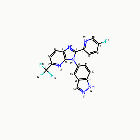 Fc1ccc(-c2nc3ccc(C(F)(F)F)nc3n2-c2ccc3[nH]ncc3c2)nc1